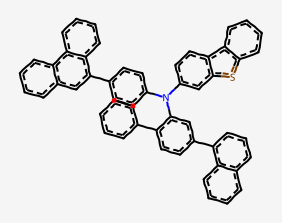 c1ccc(-c2ccc(-c3cccc4ccccc34)cc2N(c2ccc(-c3cc4ccccc4c4ccccc34)cc2)c2ccc3c(c2)sc2ccccc23)cc1